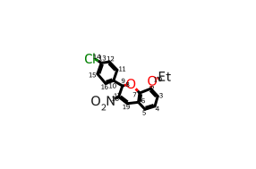 CCOc1cccc2c1OC(c1ccc(Cl)cc1)C([N+](=O)[O-])=C2